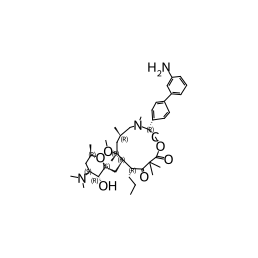 CCC[C@H]1C(=O)C(C)(C)C(=O)OC[C@@H](c2ccc(-c3cccc(N)c3)cc2)N(C)C[C@H](C)C[C@@](C)(OC)[C@@H]1C[C@@H]1O[C@H](C)C[C@H](N(C)C)[C@H]1O